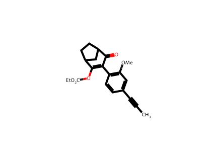 CC#Cc1ccc(C2=C(OC(=O)OCC)C3CCC(C3)C2=O)c(OC)c1